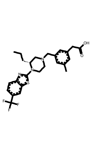 CCC[C@@H]1CN(Cc2cc(C)cc(CC(=O)O)c2)CCN1c1nc2ccc(C(F)(F)F)cc2s1